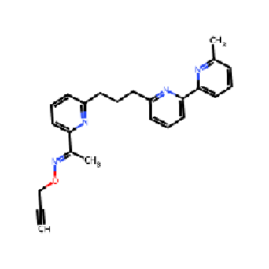 C#CCO/N=C(\C)c1cccc(CCCc2cccc(-c3cccc(C)n3)n2)n1